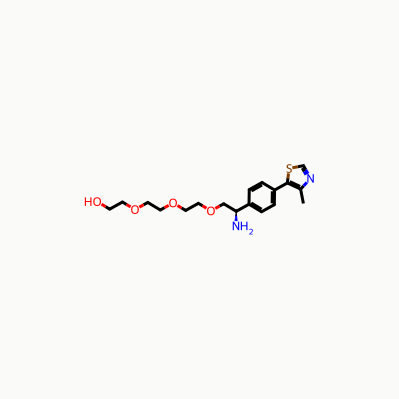 Cc1ncsc1-c1ccc([C@@H](N)COCCOCCOCCO)cc1